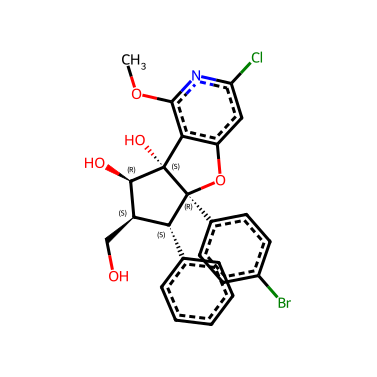 COc1nc(Cl)cc2c1[C@]1(O)[C@H](O)[C@H](CO)[C@@H](c3ccccc3)[C@]1(c1ccc(Br)cc1)O2